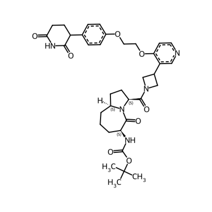 CC(C)(C)OC(=O)N[C@H]1CCC[C@H]2CC[C@@H](C(=O)N3CC(c4cnccc4OCCOc4ccc(C5CCC(=O)NC5=O)cc4)C3)N2C1=O